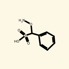 NOC(c1ccccc1)S(=O)(=O)O